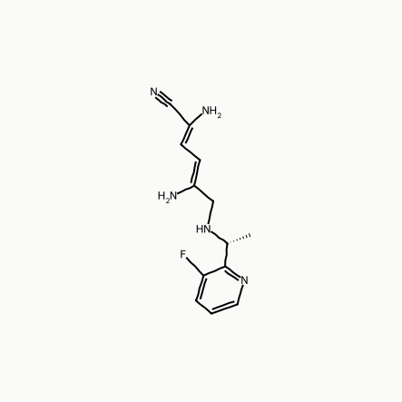 C[C@@H](NC/C(N)=C/C=C(\N)C#N)c1ncccc1F